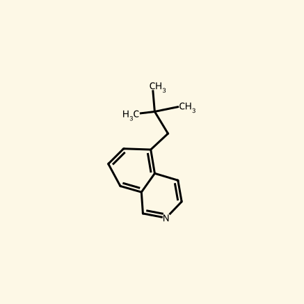 CC(C)(C)Cc1cccc2cnccc12